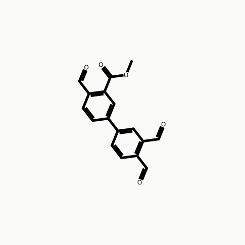 COC(=O)c1cc(-c2ccc(C=O)c(C=O)c2)ccc1C=O